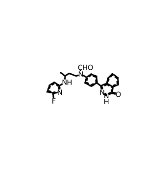 CC(CCN(C=O)c1ccc(-c2n[nH]c(=O)c3ccccc23)cc1)Nc1cccc(F)n1